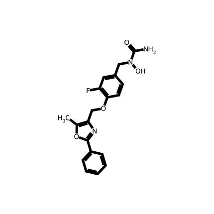 Cc1oc(-c2ccccc2)nc1COc1ccc(CN(O)C(N)=O)cc1F